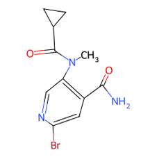 CN(C(=O)C1CC1)c1cnc(Br)cc1C(N)=O